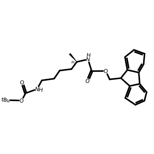 C[C@H](CCCCNC(=O)OC(C)(C)C)NC(=O)OCC1c2ccccc2-c2ccccc21